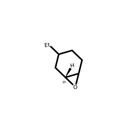 CCC1CCC2O[C@@H]2C1